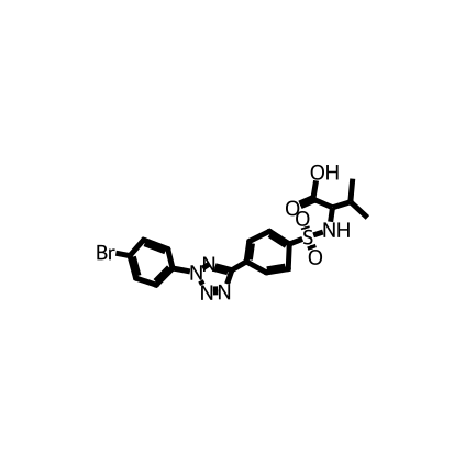 CC(C)C(NS(=O)(=O)c1ccc(-c2nnn(-c3ccc(Br)cc3)n2)cc1)C(=O)O